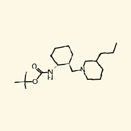 CCCC1CCCN(C[C@@H]2CCCC[C@H]2NC(=O)OC(C)(C)C)C1